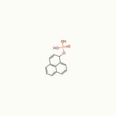 O=P(O)(O)OC1C=Cc2cccc3cccc1c23